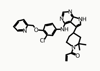 C=CC(=O)N1CCC(c2c[nH]c3ncnc(Nc4ccc(OCc5ccccn5)c(Cl)c4)c23)CC1(C)C